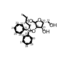 CCCC[Si](O[C@H]1C(O)O[C@H](CO)[C@H]1O)(c1ccccc1)c1ccccc1